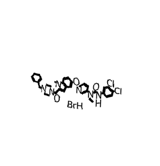 Br.CCN(C(=O)Nc1ccc(Cl)c(Cl)c1)c1ccc(Oc2ccc3c(c2)cc(C(=O)N2CCN(Cc4ccccc4)CC2)n3C)nc1